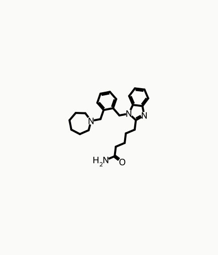 NC(=O)CCCCc1nc2ccccc2n1Cc1ccccc1CN1CCCCCC1